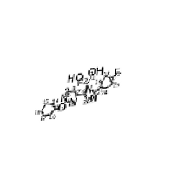 OCC(CO)n1c(-c2ccnc(Oc3ccccc3)n2)cnc1-c1ccc(F)cc1